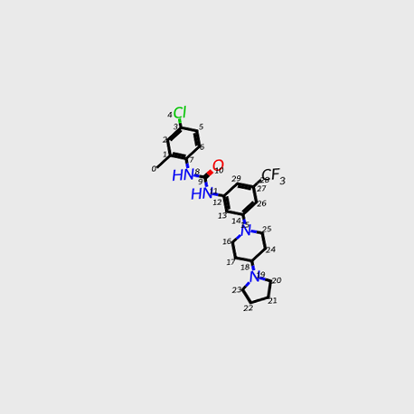 Cc1cc(Cl)ccc1NC(=O)Nc1cc(N2CCC(N3CCCC3)CC2)cc(C(F)(F)F)c1